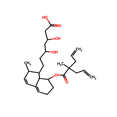 C=CCC(C)(CC=C)C(=O)OC1CCC=C2C=CC(C)C(CCC(O)CC(O)CC(=O)O)C21